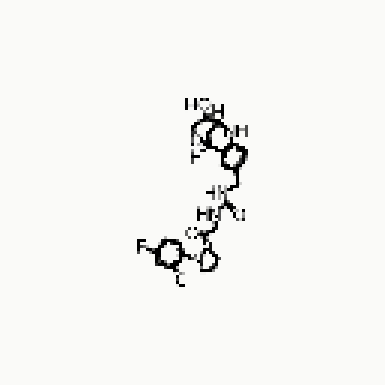 O=C(NCC(=O)N1CCCN1c1ccc(F)cc1Cl)NCc1ccc2c(c1)[C@H]1C[C@@H](N2)[C@H](O)CO1